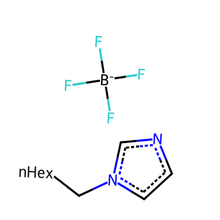 CCCCCCCn1ccnc1.F[B-](F)(F)F